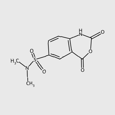 CN(C)S(=O)(=O)c1ccc2[nH]c(=O)oc(=O)c2c1